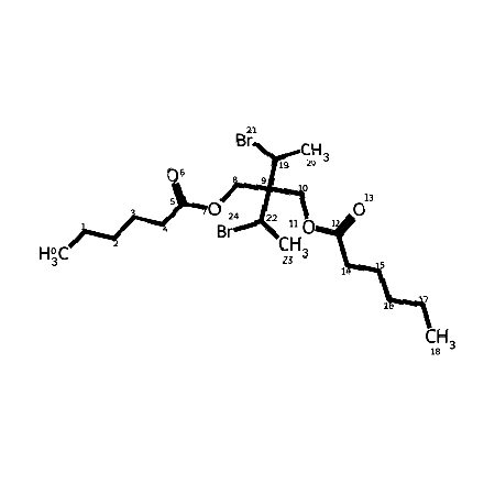 CCCCCC(=O)OCC(COC(=O)CCCCC)(C(C)Br)C(C)Br